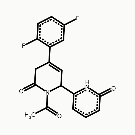 CC(=O)N1C(=O)CC(c2cc(F)ccc2F)=CC1c1cccc(=O)[nH]1